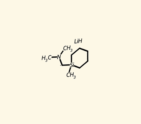 CN(C)[CH][Si]1(C)CCCCC1.[LiH]